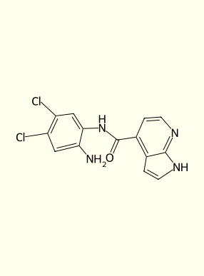 Nc1cc(Cl)c(Cl)cc1NC(=O)c1ccnc2[nH]ccc12